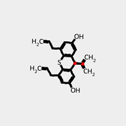 C=CCc1cc(O)cc(CC=C)c1Sc1c(CC=C)cc(O)cc1CC=C